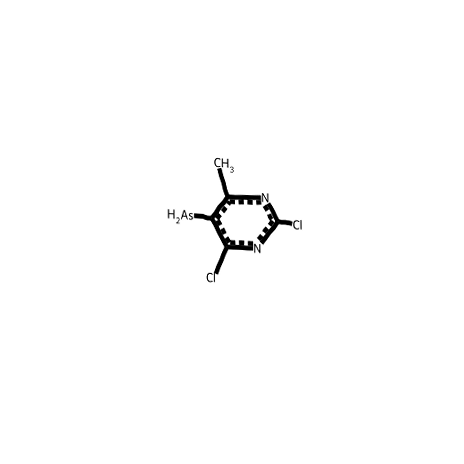 Cc1nc(Cl)nc(Cl)c1[AsH2]